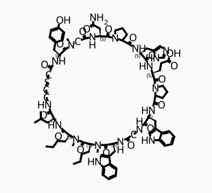 CCCC[C@H]1C(=O)N(C)[C@@H](CCCC)C(=O)N[C@@H](CC(C)C)C(=O)NCCSCC(=O)N[C@@H](Cc2ccc(O)cc2)C(=O)N(C)CC(=O)N[C@@H](CC(N)=O)C(=O)N2CCCC2C(=O)N[C@@H](Cc2cnc[nH]2)C(=O)N[C@@H](CCC(=O)O)C(=O)N2CCCC2C(=O)N[C@@H](Cc2c[nH]c3ccccc23)C(=O)NCC(=O)N[C@@H](Cc2c[nH]c3ccccc23)C(=O)N1C